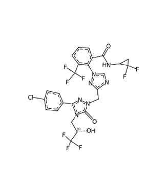 O=C(NC1CC1(F)F)c1cccc(C(F)(F)F)c1-n1cnc(Cn2nc(-c3ccc(Cl)cc3)n(C[C@H](O)C(F)(F)F)c2=O)n1